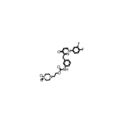 O=C(Nc1cccc(Cc2nn(-c3ccc(F)c(F)c3)ccc2=O)c1)OCCN1CCS(=O)(=O)CC1